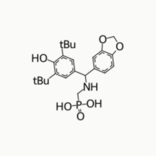 CC(C)(C)c1cc(C(NCP(=O)(O)O)c2ccc3c(c2)OCO3)cc(C(C)(C)C)c1O